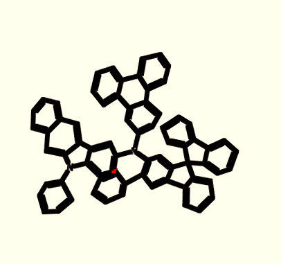 c1ccc(-c2cc3c(cc2N(c2ccc4c5ccccc5c5ccccc5c4c2)c2ccc4c(c2)c2cc5ccccc5cc2n4-c2ccccc2)C2(c4ccccc4-c4ccccc42)c2ccccc2-3)cc1